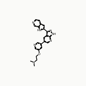 CN(C)CCOc1cncc(-c2cnc3[nH]nc(-c4cc5ccncc5[nH]4)c3c2)c1